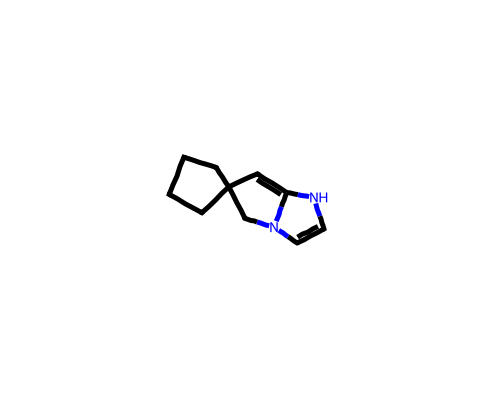 C1=CN2CC3(C=C2N1)CCCC3